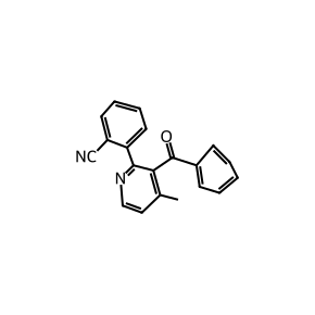 Cc1ccnc(-c2ccccc2C#N)c1C(=O)c1ccccc1